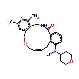 CCN(c1cccc2c1CC=CCOCc1cc(C)nc(C)c1CNC2=O)C1CCOCC1